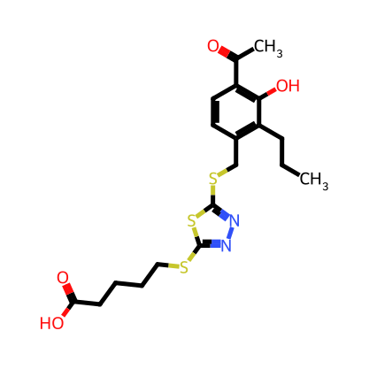 CCCc1c(CSc2nnc(SCCCCC(=O)O)s2)ccc(C(C)=O)c1O